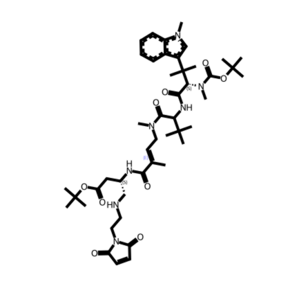 C/C(=C\CN(C)C(=O)C(NC(=O)[C@@H](N(C)C(=O)OC(C)(C)C)C(C)(C)c1cn(C)c2ccccc12)C(C)(C)C)C(=O)N[C@H](CNCCN1C(=O)C=CC1=O)CC(=O)OC(C)(C)C